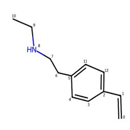 C=Cc1ccc(CCNCC)cc1